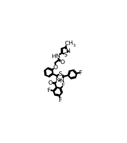 Cc1cc(NC(=O)COc2ccccc2C2SC(c3ccc(F)cc3)=NN2C(=O)c2c(F)cc(F)cc2F)sn1